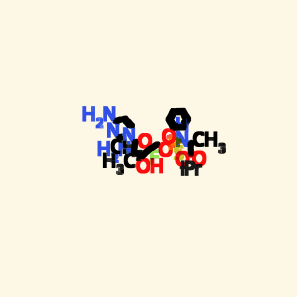 C=C1N=C(N)C=CN1[C@@H]1O[C@](F)(COP(=S)(NC(C)C(=O)OC(C)C)Oc2ccccc2)[C@@H](O)[C@@]1(C)N